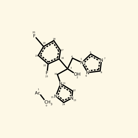 CC(C)=O.OC(Cn1cncn1)(Cn1cncn1)c1ccc(F)cc1F